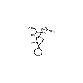 CC(C)(C)[C@](OC(N)=O)(c1ccc(N2CCOCC2)c(F)c1)C(O)C[N+](=O)[O-]